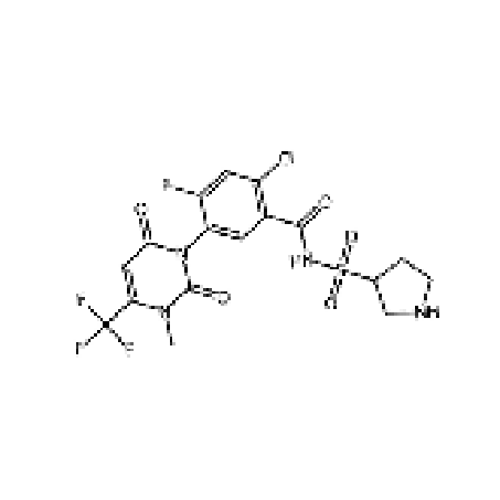 Cn1c(C(F)(F)F)cc(=O)n(-c2cc(C(=O)NS(=O)(=O)C3CCNC3)c(Cl)cc2F)c1=O